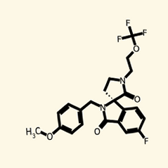 COc1ccc(CN2C(=O)c3cc(F)ccc3[C@@]23CCN(CCOC(F)(F)F)C3=O)cc1